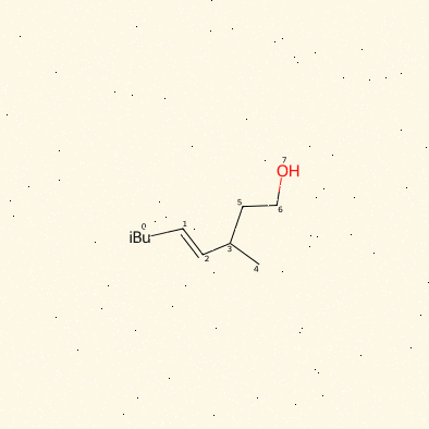 CCC(C)C=CC(C)CCO